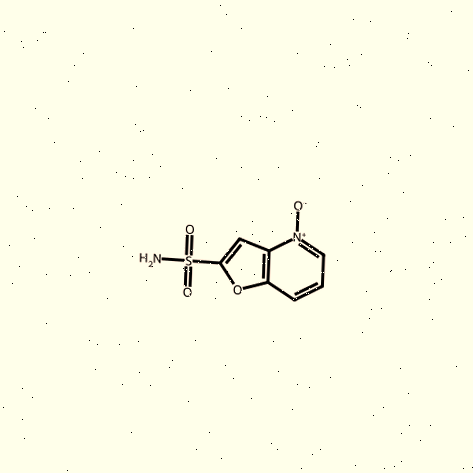 NS(=O)(=O)c1cc2c(ccc[n+]2[O-])o1